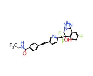 O=C(NCC(F)(F)F)c1ccc(C#Cc2ccc(C(F)(F)C3(O)Cn4nnnc4-c4cc(F)ccc43)nc2)cc1